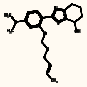 C/C=C/COCOc1cc(N(C)C)ccc1-c1nc2c(s1)C(O)CCC2